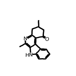 Cc1nc2c(c3c1[nH]c1ccccc13)C(=O)CC(C)C2